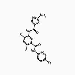 CCc1ccc(NC(=O)c2cc(NC(=O)c3cnc(N)s3)c(F)cc2F)nc1